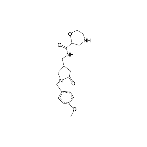 COc1ccc(CN2CC(CNC(=O)C3CNCCO3)CC2=O)cc1